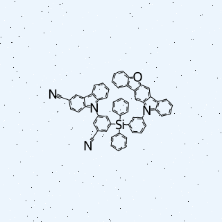 N#Cc1cc(-n2c3ccccc3c3cc(C#N)ccc32)cc([Si](c2ccccc2)(c2ccccc2)c2cccc(-n3c4ccccc4c4cc5oc6ccccc6c5cc43)c2)c1